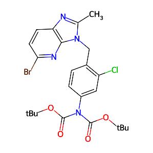 Cc1nc2ccc(Br)nc2n1Cc1ccc(N(C(=O)OC(C)(C)C)C(=O)OC(C)(C)C)cc1Cl